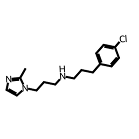 Cc1nccn1CCCNCCCc1ccc(Cl)cc1